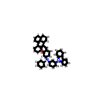 c1ccc(-c2cccc3cccc(-c4ccc5cc(N(c6ccccc6)c6cccc(-n7c8ccccc8c8ccccc87)c6)ccc5c4)c23)cc1